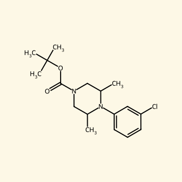 CC1CN(C(=O)OC(C)(C)C)CC(C)N1c1cccc(Cl)c1